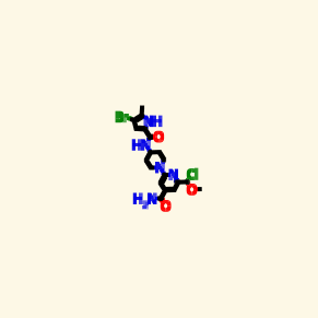 COC(Cl)c1cc(C(N)=O)cc(N2CCC(NC(=O)c3cc(Br)c(C)[nH]3)CC2)n1